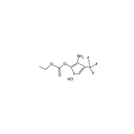 CCOC(=O)Oc1scc(C(F)(F)F)c1N.Cl